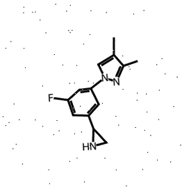 Cc1cn(-c2cc(F)cc(C3CN3)c2)nc1C